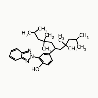 CC(C)CC(C)(C)CC(CC(C)(C)CC(C)C)c1ccc(O)c(-n2nc3ccccc3n2)c1